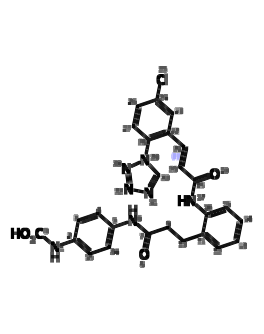 O=C(O)Nc1ccc(NC(=O)CCc2ccccc2NC(=O)/C=C/c2cc(Cl)ccc2-n2cnnn2)cc1